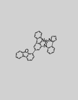 c1ccc2c(c1)-c1cccn1B1N2c2cc(-c3cccc4c3oc3ccccc34)cc3c4ccccc4n1c23